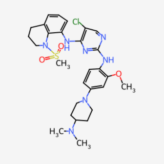 COc1cc(N2CCC(N(C)C)CC2)ccc1Nc1ncc(Cl)c(Nc2cccc3c2N(S(C)(=O)=O)CCC3)n1